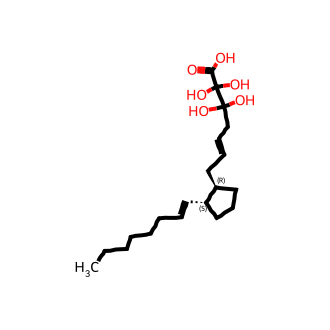 CCCCCCC=C[C@H]1CCC[C@@H]1CC=CCC(O)(O)C(O)(O)C(=O)O